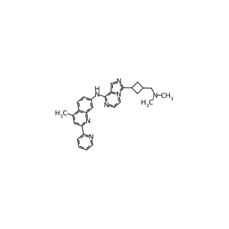 Cc1cc(-c2ccccn2)nc2cc(Nc3nccn4c(C5CC(CN(C)C)C5)ncc34)ccc12